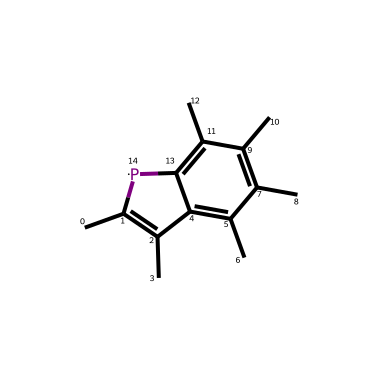 CC1=C(C)c2c(C)c(C)c(C)c(C)c2[P]1